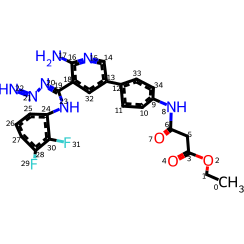 CCOC(=O)CC(=O)Nc1ccc(-c2cnc(N)c(/C(=N/N=N)Nc3cccc(F)c3F)c2)cc1